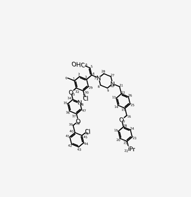 Cc1cc(/C(=C\C=O)N2CCN(Cc3ccc(COc4ccc(C(C)C)cc4)cc3)CC2)cc(Cl)c1Oc1ccc(OCc2ccccc2Cl)cn1